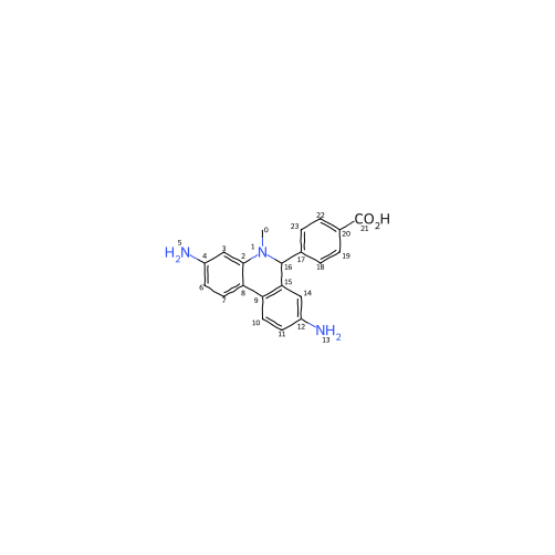 CN1c2cc(N)ccc2-c2ccc(N)cc2C1c1ccc(C(=O)O)cc1